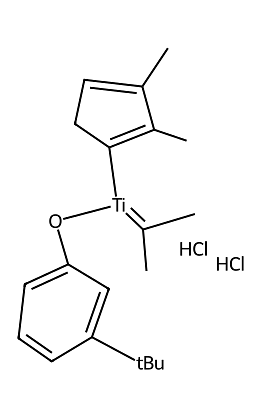 CC1=CC[C]([Ti]([O]c2cccc(C(C)(C)C)c2)=[C](C)C)=C1C.Cl.Cl